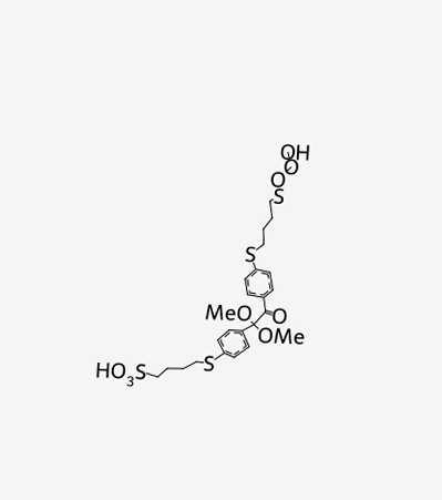 COC(OC)(C(=O)c1ccc(SCCCCSOOO)cc1)c1ccc(SCCCCS(=O)(=O)O)cc1